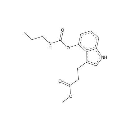 CCCNC(=O)Oc1cccc2[nH]cc(CCC(=O)OC)c12